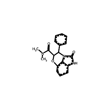 CN(C)C(=O)C1Oc2cccc3[nH]c(=O)n(c23)C1c1ccccc1